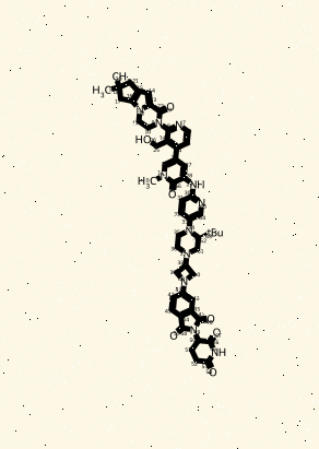 Cn1cc(-c2ccnc(N3CCn4c(cc5c4CC(C)(C)C5)C3=O)c2CO)cc(Nc2ccc(N3CCN(C4CN(c5ccc6c(c5)C(=O)N(C5CCC(=O)NC5=O)C6=O)C4)C[C@@H]3C(C)(C)C)cn2)c1=O